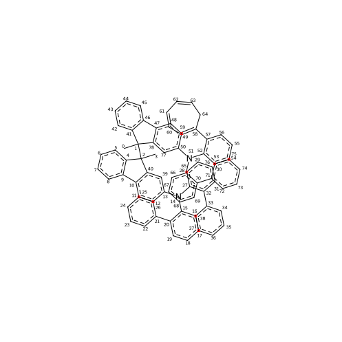 CC1(C2(C)c3ccccc3-c3ccc(N(c4ccccc4-c4ccccc4)c4ccccc4-c4ccccc4)cc32)c2ccccc2-c2ccc(N(c3ccccc3C3=CC=CC=CC3)c3ccccc3-c3ccccc3)cc21